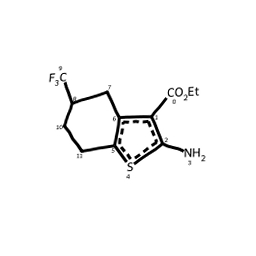 CCOC(=O)c1c(N)sc2c1CC(C(F)(F)F)CC2